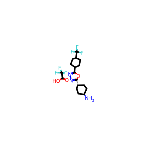 N[C@H]1CC[C@H](c2nnc(C3CCC(C(F)(F)F)CC3)o2)CC1.O=C(O)C(F)(F)F